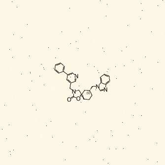 O=C1O[C@]2(CCC[C@H](Cn3cnc4ccccc43)C2)CN1Cc1cncc(-c2ccccc2)c1